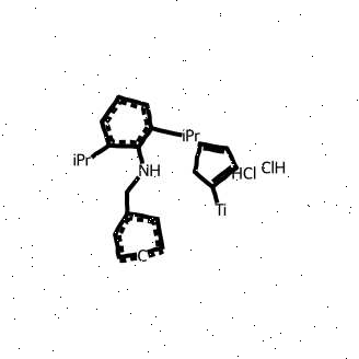 CC(C)c1cccc(C(C)C)c1NCc1ccccc1.Cl.Cl.[Ti][C]1=CC=CC1